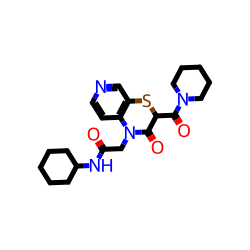 O=C(CN1C(=O)C(C(=O)N2CCCCC2)Sc2cnccc21)NC1CCCCC1